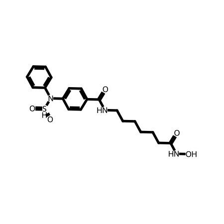 O=C(CCCCCCNC(=O)c1ccc(N(c2ccccc2)[SH](=O)=O)cc1)NO